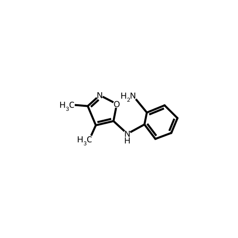 Cc1noc(Nc2ccccc2N)c1C